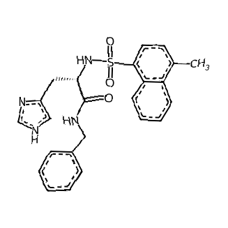 Cc1ccc(S(=O)(=O)N[C@@H](Cc2c[nH]cn2)C(=O)NCc2ccccc2)c2ccccc12